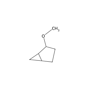 COC1CCC2CC21